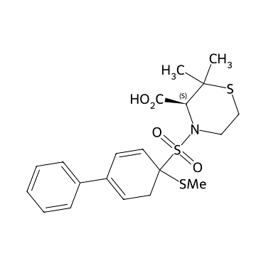 CSC1(S(=O)(=O)N2CCSC(C)(C)[C@@H]2C(=O)O)C=CC(c2ccccc2)=CC1